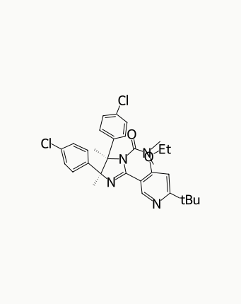 CCOc1cc(C(C)(C)C)ncc1C1=N[C@@](C)(c2ccc(Cl)cc2)[C@@](C)(c2ccc(Cl)cc2)N1C(=O)N(C)C